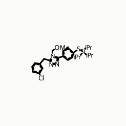 COCn1c(Cc2cccc(Cl)c2)nnc1-c1ccc(S[Si](C(C)C)(C(C)C)C(C)C)cc1